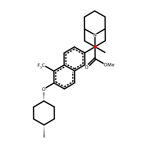 COC(=O)C1CC2CCCC(C1)N2C(C)c1ccc2c(C(F)(F)F)c(O[C@H]3CC[C@@H](C)CC3)ccc2c1